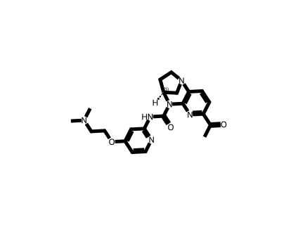 CC(=O)c1ccc2c(n1)N(C(=O)Nc1cc(OCCN(C)C)ccn1)[C@H]1CCN2C1